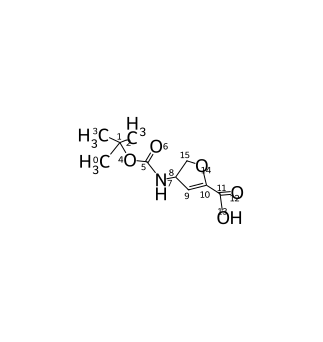 CC(C)(C)OC(=O)NC1C=C(C(=O)O)OC1